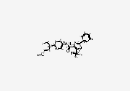 CCN(CCOC)c1ccc(NC(=O)c2nc(-c3ccccc3)oc2C(F)(F)F)cn1